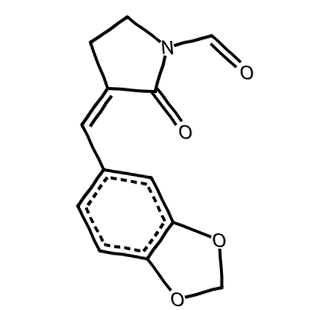 O=CN1CCC(=Cc2ccc3c(c2)OCO3)C1=O